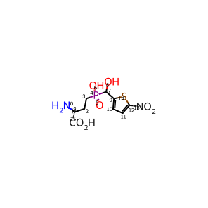 N[C@@H](CCP(=O)(O)C(O)c1ccc([N+](=O)[O-])s1)C(=O)O